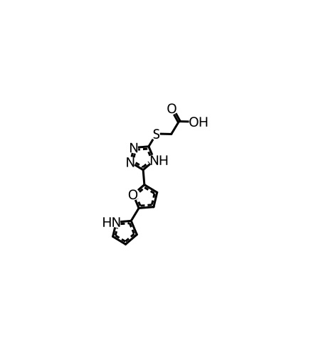 O=C(O)CSc1nnc(-c2ccc(-c3ccc[nH]3)o2)[nH]1